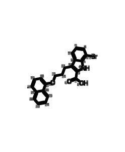 O=C(O)c1[nH]c2c(Br)cccc2c1CCCOc1cccc2ccccc12